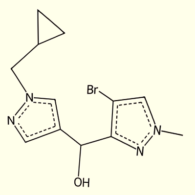 Cn1cc(Br)c(C(O)c2cnn(CC3CC3)c2)n1